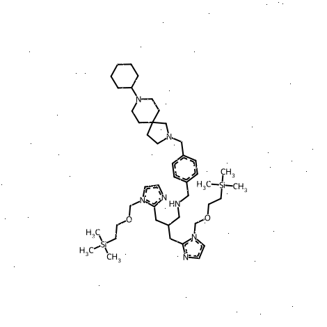 C[Si](C)(C)CCOCn1ccnc1CC(CNCc1ccc(CN2CCC3(CCN(C4CCCCC4)CC3)C2)cc1)Cc1nccn1COCC[Si](C)(C)C